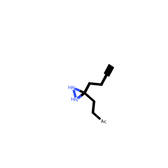 C#CCCC1(CCC(C)=O)NN1